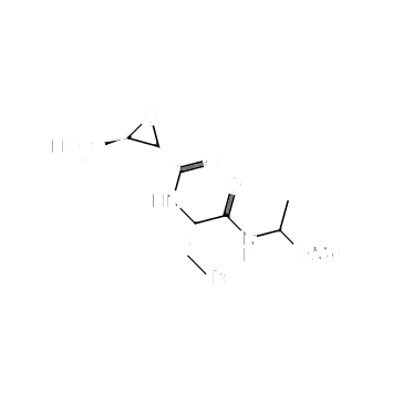 COC(C)NC(=O)[C@H](CC(C)C)NC(=O)[C@H]1O[C@@H]1C(=O)O